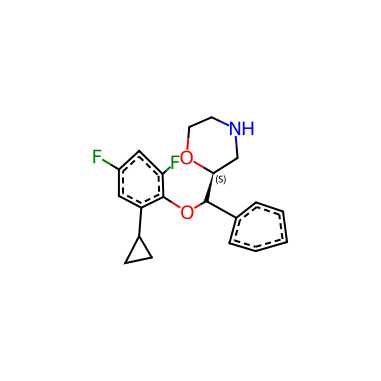 Fc1cc(F)c(OC(c2ccccc2)[C@@H]2CNCCO2)c(C2CC2)c1